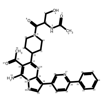 CC(=O)NC(CO)C(=O)N1CCC(c2nc3c(-c4ccc(-c5ccccc5)nc4)cnn3c(N)c2C(C)=O)CC1